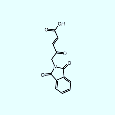 O=C(O)C=CC(=O)CN1C(=O)c2ccccc2C1=O